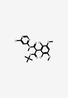 COc1cc(OC)c(Cl)c(C(C(=O)OC(C)(C)C)C(=O)N(C)c2cc(Cl)ncn2)c1Cl